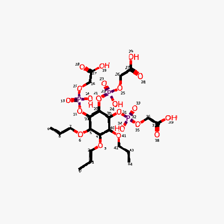 CCCOC1C(OCCC)C(OP(=O)(O)OCC(=O)O)C(OP(=O)(O)OCC(=O)O)C(OP(=O)(O)OCC(=O)O)C1OCCC